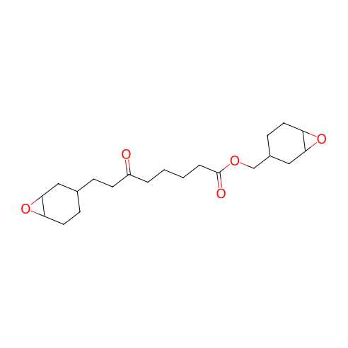 O=C(CCCCC(=O)OCC1CCC2OC2C1)CCC1CCC2OC2C1